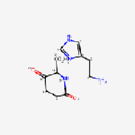 NCCc1c[nH]cn1.O=C1CCC(=O)C(C(=O)O)N1